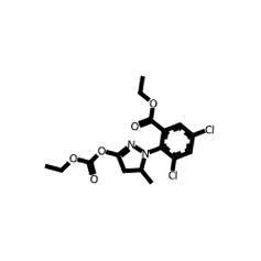 CCOC(=O)OC1=NN(c2c(Cl)cc(Cl)cc2C(=O)OCC)C(C)C1